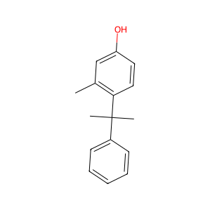 Cc1cc(O)ccc1C(C)(C)c1ccccc1